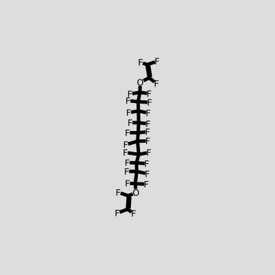 FC(F)=C(F)OC(F)(F)C(F)(F)C(F)(F)C(F)(F)C(F)(F)C(F)(F)C(F)(F)C(F)(F)C(F)(F)C(F)(F)OC(F)=C(F)F